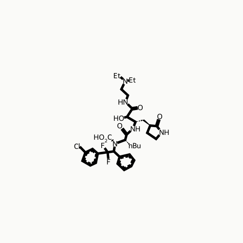 CCCC[C@@H](C(=O)N[C@@H](C[C@@H]1CCNC1=O)C(O)C(=O)NCCN(CC)CC)N(C(=O)O)C(c1ccccc1)C(F)(F)c1cccc(Cl)c1